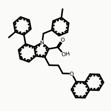 Cc1cccc(Cn2c(C(=O)O)c(CCCOc3cccc4ccccc34)c3cccc(-c4ccccc4C)c32)c1